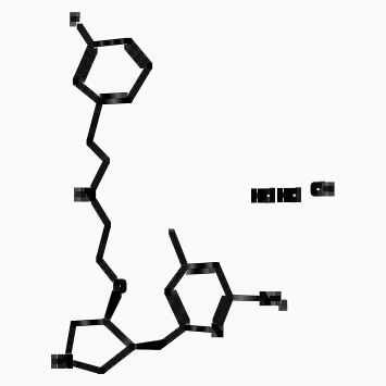 Cc1cc(N)nc(C[C@H]2CNC[C@H]2OCCNCCc2cccc(F)c2)c1.Cl.Cl.Cl